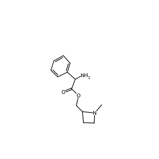 CN1CCC1COC(=O)C(N)c1ccccc1